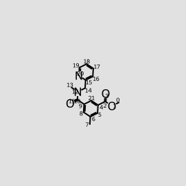 COC(=O)c1cc(C)cc(C(=O)N(C)Cc2ccccn2)c1